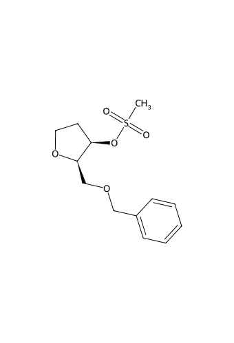 CS(=O)(=O)O[C@@H]1CCO[C@@H]1COCc1ccccc1